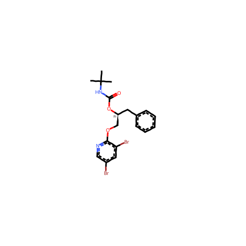 CC(C)(C)NC(=O)O[C@H](COc1ncc(Br)cc1Br)Cc1ccccc1